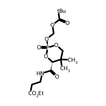 CCOC(=O)CCNC(=O)[C@@H]1O[P@@](=O)(OCOC(=O)C(C)(C)C)OCC1(C)C